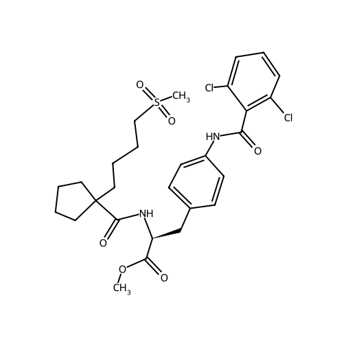 COC(=O)[C@H](Cc1ccc(NC(=O)c2c(Cl)cccc2Cl)cc1)NC(=O)C1(CCCCS(C)(=O)=O)CCCC1